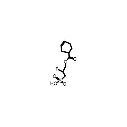 O=C(OCC(F)CS(=O)(=O)O)C1CC=CCC1